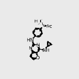 CC(=O)N(C)c1ccc(Nc2nc(NC3CC3)c3occc3n2)cc1